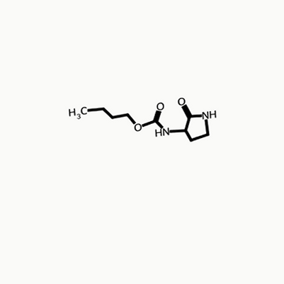 CCCCOC(=O)NC1CCNC1=O